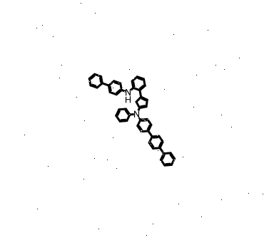 C1=C(c2ccccc2Nc2ccc(-c3ccccc3)cc2)CC(N(c2ccccc2)c2ccc(-c3ccc(-c4ccccc4)cc3)cc2)=C1